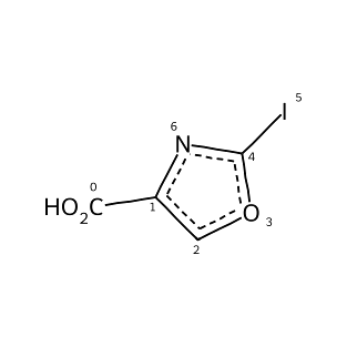 O=C(O)c1coc(I)n1